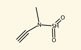 C#CN(C)[SH](=O)=O